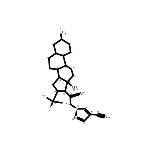 CC1CCC2C(CCC3C2CCC2(C)C3CC(C(F)(F)F)C2C(=O)Cn2cc(C#N)cn2)C1